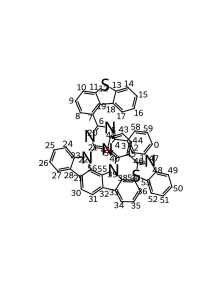 c1ccc(-c2nc(-c3cccc4sc5ccccc5c34)nc(-n3c4ccccc4c4ccc5c6ccccc6n(-c6ccccc6-c6nc7ccccc7s6)c5c43)n2)cc1